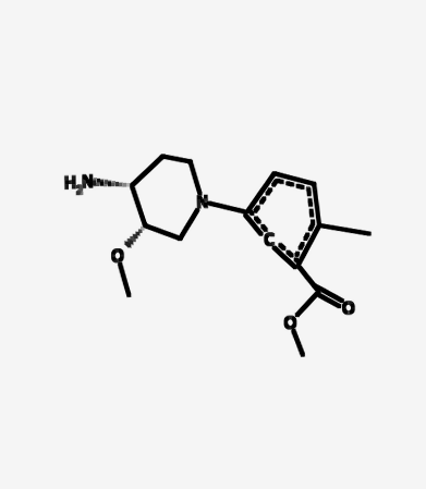 COC(=O)c1cc(N2CC[C@@H](N)[C@@H](OC)C2)ccc1C